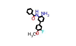 COc1ccc(-c2ccc(N)c(NC(=O)c3ccccc3)c2)cc1F